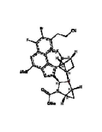 COC(=O)N1[C@@H](c2cc3c(SC)nc4c(F)c(Br)c(CCC#N)cc4c3n2[C@H]2[C@@H]3C[C@H]2N(C(=O)O)C3)C[C@@H]2C[C@@H]21